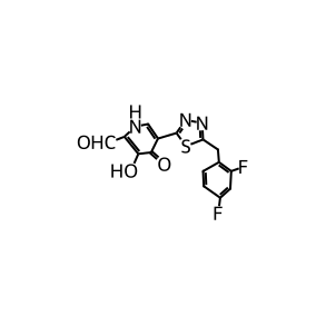 O=Cc1[nH]cc(-c2nnc(Cc3ccc(F)cc3F)s2)c(=O)c1O